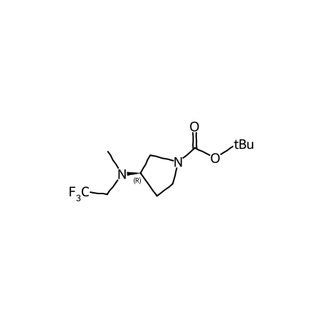 CN(CC(F)(F)F)[C@@H]1CCN(C(=O)OC(C)(C)C)C1